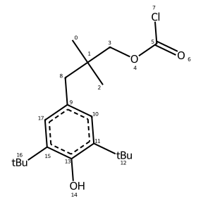 CC(C)(COC(=O)Cl)Cc1cc(C(C)(C)C)c(O)c(C(C)(C)C)c1